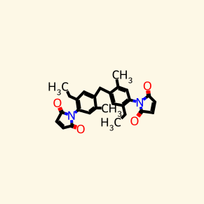 CCc1cc(Cc2cc(CC)c(N3C(=O)C=CC3=O)cc2C)c(C)cc1N1C(=O)C=CC1=O